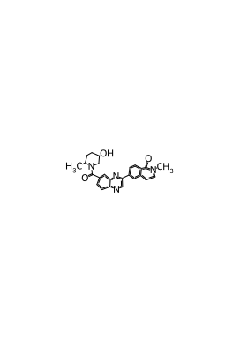 CC1CCC(O)CN1C(=O)c1ccc2ncc(-c3ccc4c(=O)n(C)ccc4c3)nc2c1